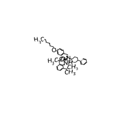 CCCCCCOc1ccc(CN(C(=O)Nc2c(C(C)C)cccc2C(C)C)C2CCC(c3ccccc3)CC2)cc1